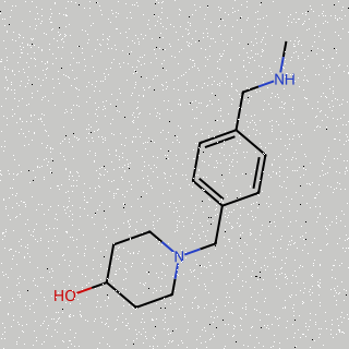 CNCc1ccc(CN2CCC(O)CC2)cc1